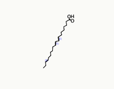 CC/C=C/CCCCC/C=C/C=C/CCCCCCC(=O)O